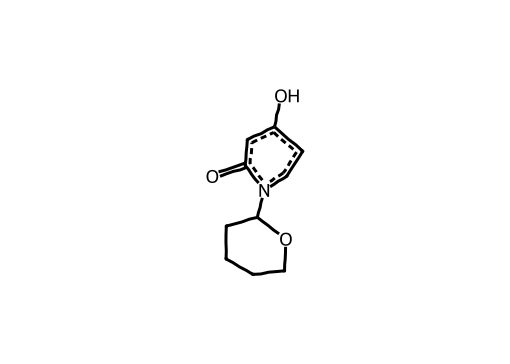 O=c1cc(O)ccn1C1CCCCO1